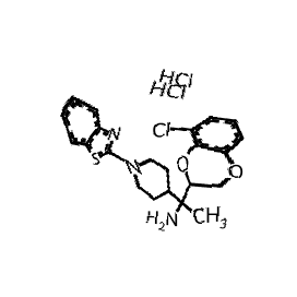 CC(N)(C1CCN(c2nc3ccccc3s2)CC1)C1COc2cccc(Cl)c2O1.Cl.Cl